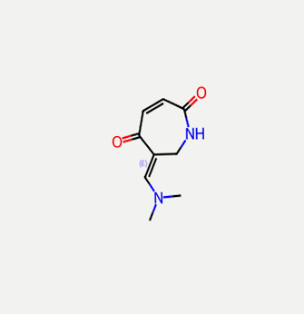 CN(C)/C=C1\CNC(=O)C=CC1=O